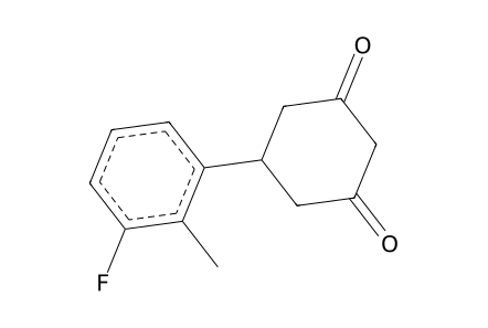 Cc1c(F)cccc1C1CC(=O)CC(=O)C1